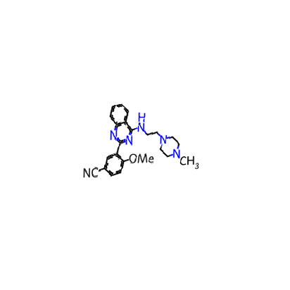 COc1ccc(C#N)cc1-c1nc(NCCN2CCN(C)CC2)c2ccccc2n1